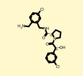 NCc1ccc(Cl)cc1CNC(=O)[C@@H]1CCCN1C(=O)[C@H](O)c1cccc(Cl)c1